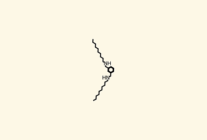 CCCCCCCCCCNCc1cccc(CNCCCCCCCCCC)c1